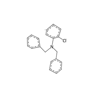 Clc1cc[c]cc1N(Cc1ccccc1)Cc1ccccc1